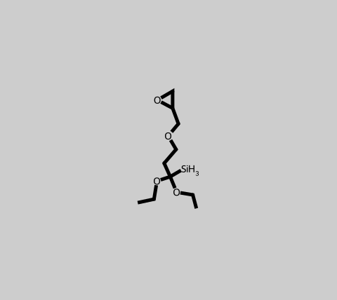 CCOC([SiH3])(CCOCC1CO1)OCC